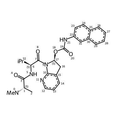 CN[C@@H](C)C(=O)N[C@H](C(=O)N1c2ncccc2C[C@@H]1OC(=O)Nc1ccc2ccccc2c1)C(C)C